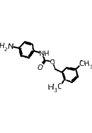 Cc1ccc(C)c(COC(=O)Nc2ccc(N)cc2)c1